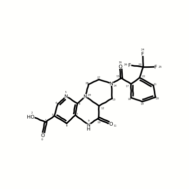 O=C(O)c1cnc2c(c1)NC(=O)C1CN(C(=O)c3ccccc3C(F)(F)F)CCN21